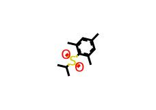 Cc1cc(C)c(S(=O)(=O)C(C)C)c(C)c1